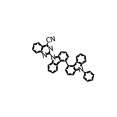 N#Cc1nc(-n2c3ccccc3c3c(-c4cccc5c4c4ccccc4n5-c4ccccc4)cccc32)nc2ccccc12